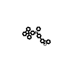 c1ccc(N(c2ccc(-c3ccc4oc5ccccc5c4c3)cc2)c2ccc(C3(c4ccccc4)c4ccccc4-c4ccccc43)cc2)cc1